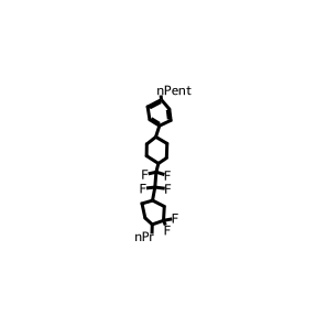 CCCCCc1ccc(C2CCC(C(F)(F)C(F)(F)C3CCC(CCC)C(F)(F)C3)CC2)cc1